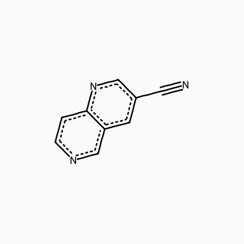 N#Cc1cnc2ccncc2c1